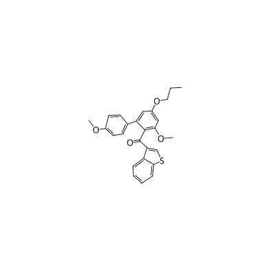 CCCOc1cc(OC)c(C(=O)c2csc3ccccc23)c(-c2ccc(OC)cc2)c1